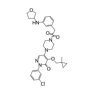 CC1(COc2c(N3CCN(S(=O)(=O)Cc4cccc(NC5CCOC5)c4)CC3)cnn(-c3cccc(Cl)c3)c2=O)CC1